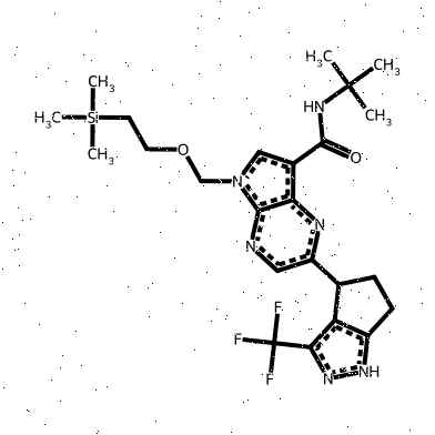 CC(C)(C)NC(=O)c1cn(COCC[Si](C)(C)C)c2ncc(C3CCc4[nH]nc(C(F)(F)F)c43)nc12